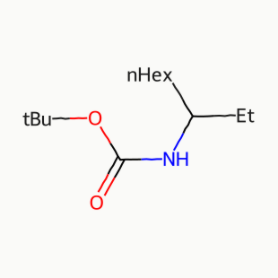 [CH2]CC(CCCCCC)NC(=O)OC(C)(C)C